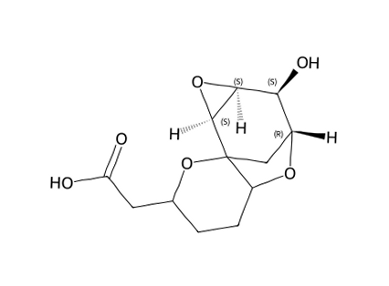 O=C(O)CC1CCC2O[C@@H]3CC2(O1)[C@H]1O[C@H]1[C@H]3O